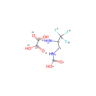 NC(CNC(=O)O)C(F)(F)F.O=C(O)C(=O)O